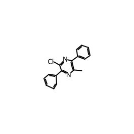 Cc1nc(-c2ccccc2)c(Cl)nc1-c1ccccc1